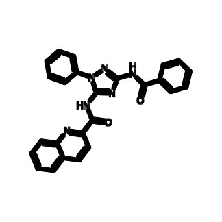 O=C(Nc1nc(NC(=O)c2ccc3ccccc3n2)n(-c2ccccc2)n1)c1ccccc1